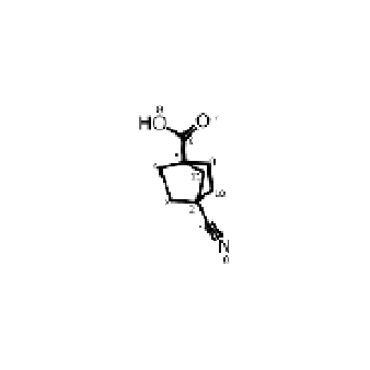 N#CC12CCC(C(=O)O)(CC1)C2